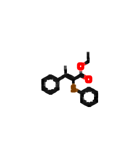 CCOC(=O)C(Sc1ccccc1)=C(C)c1ccccc1